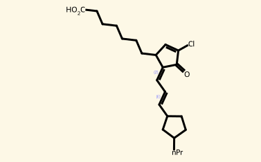 CCCC1CCC(/C=C/C=C2\C(=O)C(Cl)=CC2CCCCCCC(=O)O)C1